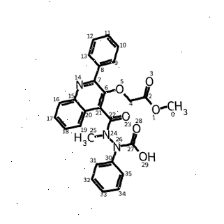 COC(=O)COc1c(-c2ccccc2)nc2ccccc2c1C(=O)N(C)N(C(=O)O)c1ccccc1